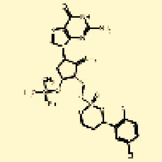 C=C1C(n2cnc3c(=O)[nH]c(N)nc32)C[C@H](O[Si](C)(C)C(C)(C)C)[C@H]1CO[P@]1(=O)OCC[C@H](c2cc(Cl)ccc2F)O1